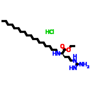 CCCCCCCCCCCCCCCCCCN[C@@H](CCCNC(=N)N)C(=O)OCC.Cl